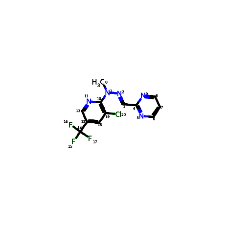 CN(N=Cc1ncccn1)c1ncc(C(F)(F)F)cc1Cl